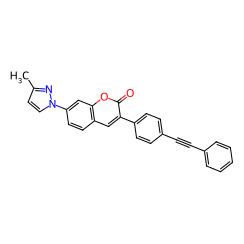 Cc1ccn(-c2ccc3cc(-c4ccc(C#Cc5ccccc5)cc4)c(=O)oc3c2)n1